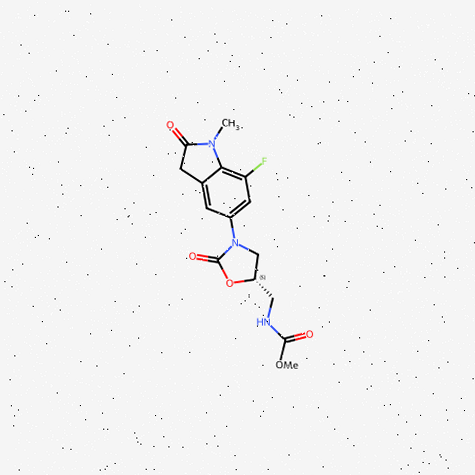 COC(=O)NC[C@H]1CN(c2cc(F)c3c(c2)CC(=O)N3C)C(=O)O1